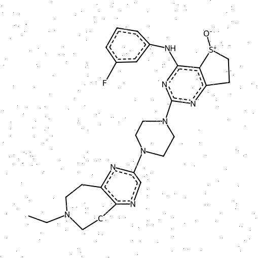 CCN1CCc2ncc(N3CCN(c4nc5c(c(Nc6cccc(F)c6)n4)[S+]([O-])CC5)CC3)nc2CC1